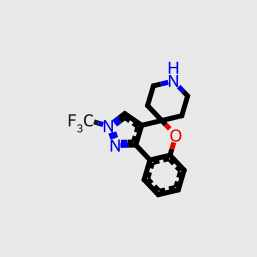 FC(F)(F)n1cc2c(n1)-c1ccccc1OC21CCNCC1